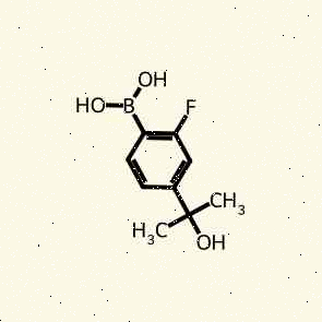 CC(C)(O)c1ccc(B(O)O)c(F)c1